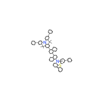 CC1(C)c2cc(-c3ccccc3)ccc2N2c3ccc(-c4ccccc4)cc3C(C)(C)c3cc(-c4ccc(-c5ccc(N(c6ccc(-c7ccccc7)cc6)c6cccc7c6sc6ccccc67)c6ccccc56)c5ccccc45)cc1c32